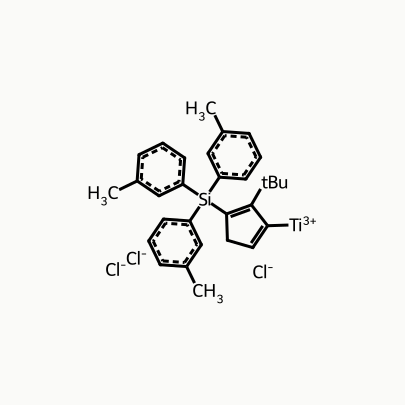 Cc1cccc([Si](C2=C(C(C)(C)C)[C]([Ti+3])=CC2)(c2cccc(C)c2)c2cccc(C)c2)c1.[Cl-].[Cl-].[Cl-]